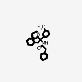 O=C(Cc1ccccc1)NC(Cc1ccccc1)(c1cccc(C(F)(F)F)c1)c1ccccn1